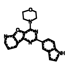 c1cnc2oc3c(N4CCOCC4)nc(-c4ccc5[nH]ccc5c4)nc3c2c1